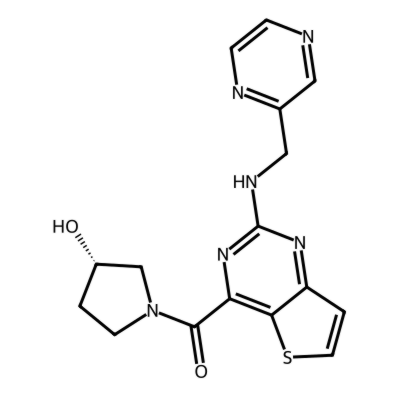 O=C(c1nc(NCc2cnccn2)nc2ccsc12)N1CC[C@H](O)C1